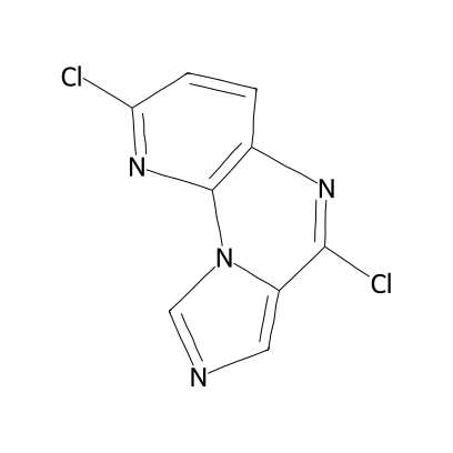 Clc1ccc2nc(Cl)c3cncn3c2n1